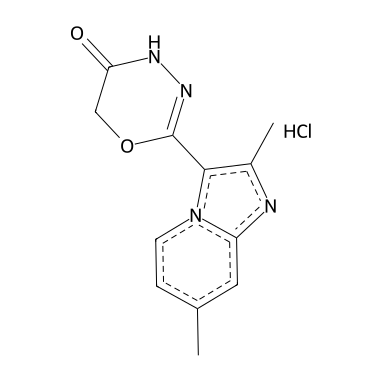 Cc1ccn2c(C3=NNC(=O)CO3)c(C)nc2c1.Cl